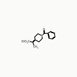 CCOC(=O)C(C)=C1CCN(C(=O)c2ccccc2)CC1